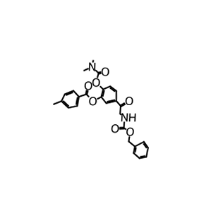 Cc1ccc(C(=O)Oc2cc(C(=O)CNC(=O)OCc3ccccc3)ccc2OC(=O)N(C)C)cc1